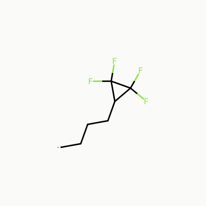 [CH2]CCCC1C(F)(F)C1(F)F